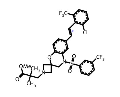 COC(=O)C(C)(C)CN1CC2(C1)CN(S(=O)(=O)c1cccc(C(F)(F)F)c1)c1cc(/C=C/c3c(Cl)cccc3C(F)(F)F)ccc1O2